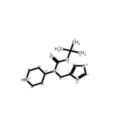 CC(C)(C)OC(=O)N(Cc1cscn1)C1CCNCC1